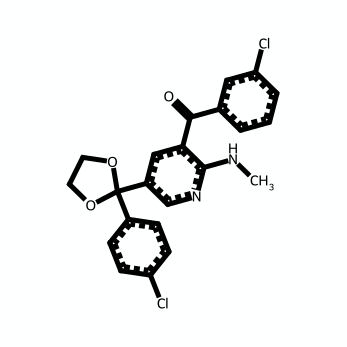 CNc1ncc(C2(c3ccc(Cl)cc3)OCCO2)cc1C(=O)c1cccc(Cl)c1